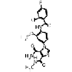 CNC(=O)c1ncn(-c2ccc(NC(=O)c3ccc(F)cc3Cl)c(OC)c2)c1C(N)=O